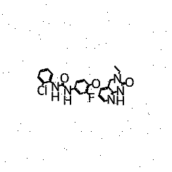 CCN1Cc2c(Oc3ccc(NC(=O)Nc4ccccc4Cl)cc3F)ccnc2NC1=O